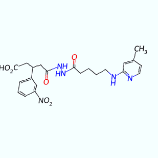 Cc1ccnc(NCCCCC(=O)NNC(=O)CC(CC(=O)O)c2cccc([N+](=O)[O-])c2)c1